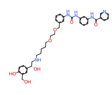 O=C(Nc1cccc(COCCOCCCCCNC[C@H](O)c2ccc(O)c(CO)c2)c1)Nc1cccc(NC(=O)c2cccnc2)c1